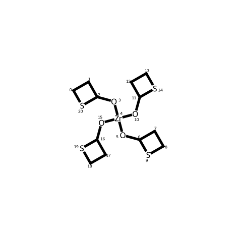 C1CC([O][Zr]([O]C2CCS2)([O]C2CCS2)[O]C2CCS2)S1